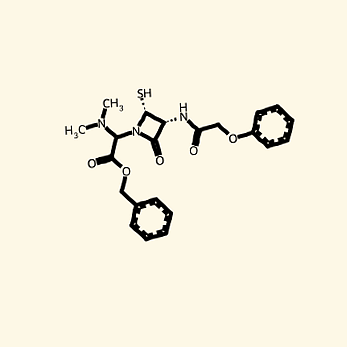 CN(C)C(C(=O)OCc1ccccc1)N1C(=O)[C@@H](NC(=O)COc2ccccc2)[C@H]1S